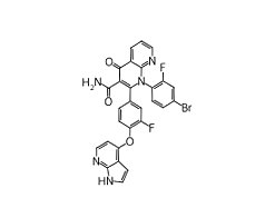 NC(=O)c1c(-c2ccc(Oc3ccnc4[nH]ccc34)c(F)c2)n(-c2ccc(Br)cc2F)c2ncccc2c1=O